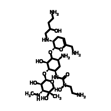 CN[C@@H]1[C@@H](O)[C@@H](O[C@H]2[C@H](NC(=O)N(O)CCN)C[C@H](N)C(O[C@H]3OC(CN)=CC[C@H]3NCC(O)CCN)[C@@H]2O)OC[C@]1(C)O